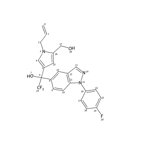 C=CCn1cc(C(O)(c2ccc3c(cnn3-c3ccc(F)cc3)c2)C(F)(F)F)cc1CO